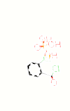 O=C(Cl)c1ccccc1Cl.O=P(O)(O)O